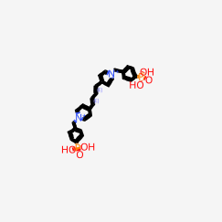 O=P(O)(O)c1ccc(C[n+]2ccc(/C=C/C=C/c3cc[n+](Cc4ccc(P(=O)(O)O)cc4)cc3)cc2)cc1